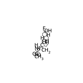 C=C(Cn1cc(S(C)(=O)=O)cn1)[C@H]1CC[C@H]2[C@@H]3CC[C@@H]4C[C@@](O)(CF)CC[C@@H]4[C@H]3CC[C@]12C